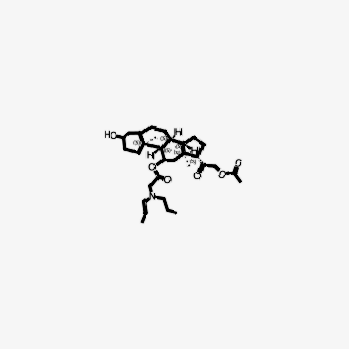 CCCN(CCC)CC(=O)OC1C[C@]2(C)[C@@H](C(=O)COC(C)=O)CC[C@H]2[C@@H]2CCC3CC(O)CC[C@]3(C)[C@@H]12